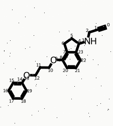 C#CCNC1CCc2c(OCCCOc3ccccc3)cccc21